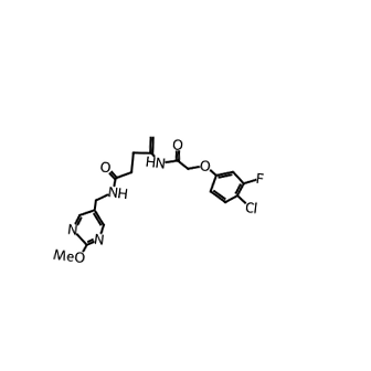 C=C(CCC(=O)NCc1cnc(OC)nc1)NC(=O)COc1ccc(Cl)c(F)c1